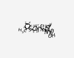 Cc1ccccc1SC1CCN(C(=O)Cn2nc(C(=O)O)c3c2CC2CC32)CC1